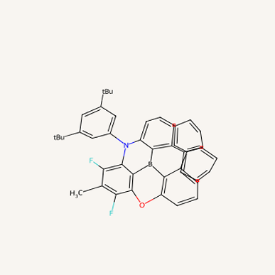 Cc1c(F)c2c3c(c1F)N(c1cc(C(C)(C)C)cc(C(C)(C)C)c1)c1cccc(-c4ccccc4)c1B3c1c(cccc1-c1ccccc1)O2